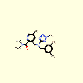 CON(C)C(=O)c1ncc(C(F)(F)F)cc1CN(Cc1cc(C(F)(F)F)cc(C(F)(F)F)c1)c1nnn(C)n1